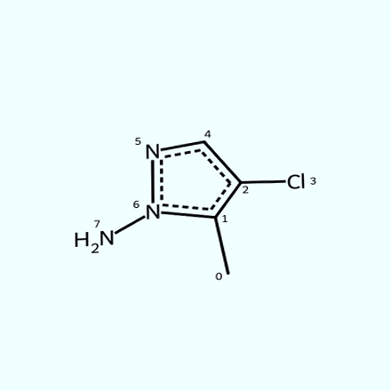 Cc1c(Cl)cnn1N